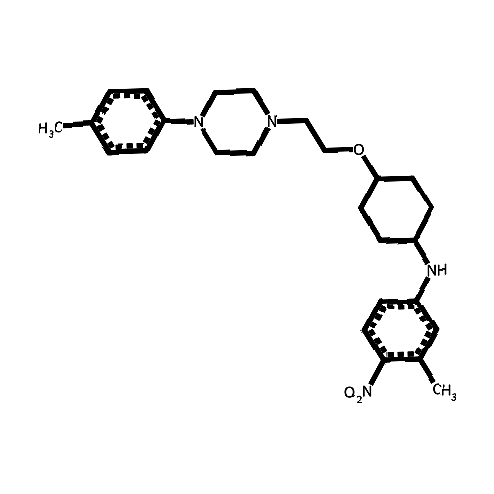 Cc1ccc(N2CCN(CCOC3CCC(Nc4ccc([N+](=O)[O-])c(C)c4)CC3)CC2)cc1